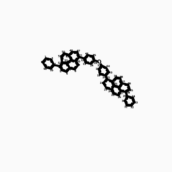 c1ccc(-c2ccc3ccc4c(-c5ccc(Oc6ccc(-c7ccc8ccc9c(-c%10ccccc%10)ccc%10ccc7c8c%109)cc6)cc5)ccc5ccc2c3c54)cc1